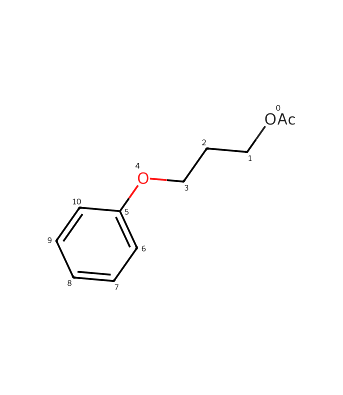 CC(=O)OCCCOc1ccccc1